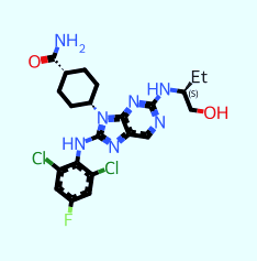 CC[C@@H](CO)Nc1ncc2nc(Nc3c(Cl)cc(F)cc3Cl)n([C@H]3CC[C@@H](C(N)=O)CC3)c2n1